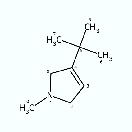 CN1CC=C(C(C)(C)C)C1